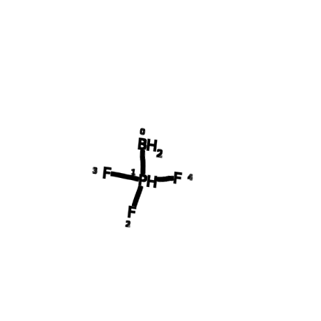 B[PH](F)(F)F